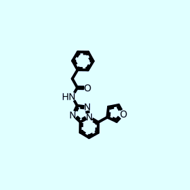 O=C(Cc1ccccc1)Nc1nc2cccc(-c3ccoc3)n2n1